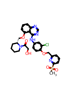 CS(=O)(=O)c1cccc(COc2ccc(Nc3ncnc4cccc(OC[C@H]5CCCCN5C(=O)CO)c34)cc2Cl)n1